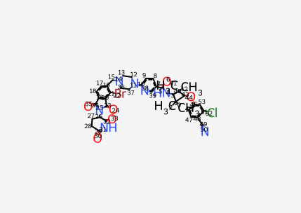 CC1(C)C(NC(=O)c2ccc(N3CCN(Cc4ccc5c(c4Br)C(=O)N(C4CCC(=O)NC4=O)C5=O)CC3)nc2)C(C)(C)C1Oc1ccc(C#N)c(Cl)c1